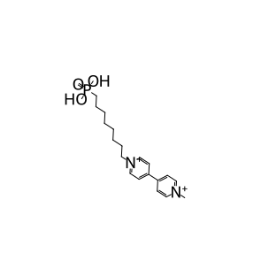 C[n+]1ccc(-c2cc[n+](CCCCCCCCP(=O)(O)O)cc2)cc1